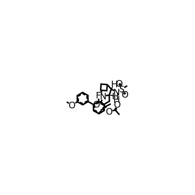 COc1cccc(-c2cccc(C[C@H]3[C@@H](NS(C)(=O)=O)C4CC(C4)N3C(=O)C(C)(C)OC(C)=O)c2F)c1